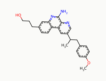 COc1ccc(CC(C)c2cnc3c(N)nc4cc(CCCO)ccc4c3c2)cc1